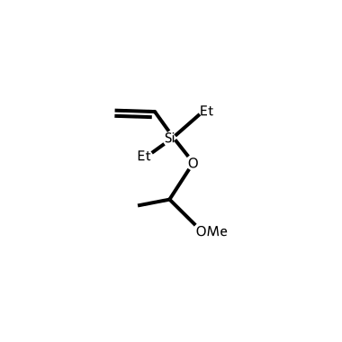 C=C[Si](CC)(CC)OC(C)OC